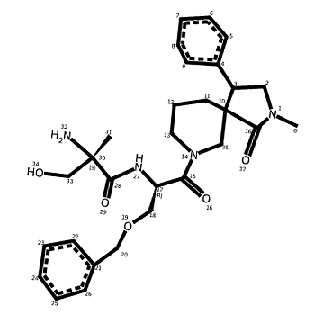 CN1CC(c2ccccc2)C2(CCCN(C(=O)[C@@H](COCc3ccccc3)NC(=O)[C@@](C)(N)CO)C2)C1=O